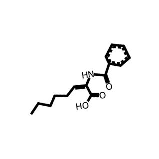 CCCCCC=C(NC(=O)c1ccccc1)C(=O)O